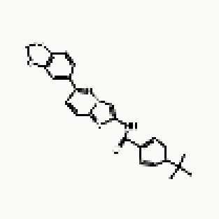 CC(C)(C)C1C=CC(C(=O)Nc2cn3nc(-c4ccc5c(c4)OCO5)ccc3n2)=CC1